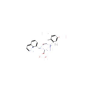 CCOC(OCC)[C@H](C)N(Cc1cccc2cccnc12)C(=O)[C@H](Cc1c(C)cc(O)cc1C)NC(=O)O